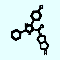 O=C(c1sc(-c2ccccc2)nc1-c1ccc(Cl)cc1)N1CC2CNCC2C1